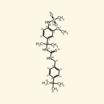 COc1cc(C(C)(C)NC(=S)NCc2ccc(C(C)(C)C)cc2)ccc1NS(C)(=O)=O